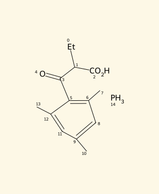 CCC(C(=O)O)C(=O)c1c(C)cc(C)cc1C.P